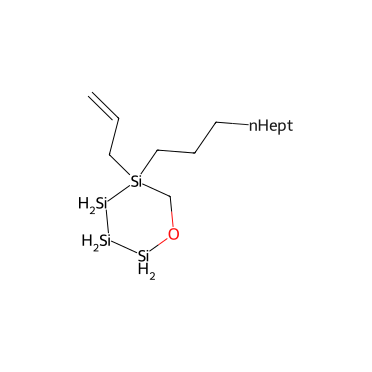 C=CC[Si]1(CCCCCCCCCC)CO[SiH2][SiH2][SiH2]1